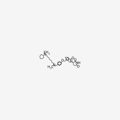 CN(CCCCCCCN(C)C1CCCCC1)Cc1ccc(OCc2scc3c2CN(C2CCC(=O)NC2=O)C3=O)cc1